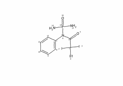 CCC(I)(I)C(=O)N(c1ccccc1)P(N)(N)=O